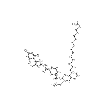 CCCCCCCCCCCCCCCc1cccc(OC(CC)C(=O)Nc2cccc(C(=O)Nc3cc(=O)n(-c4c(Cl)cc(Cl)cc4Cl)[nH]3)c2)c1